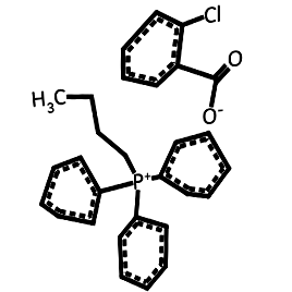 CCCC[P+](c1ccccc1)(c1ccccc1)c1ccccc1.O=C([O-])c1ccccc1Cl